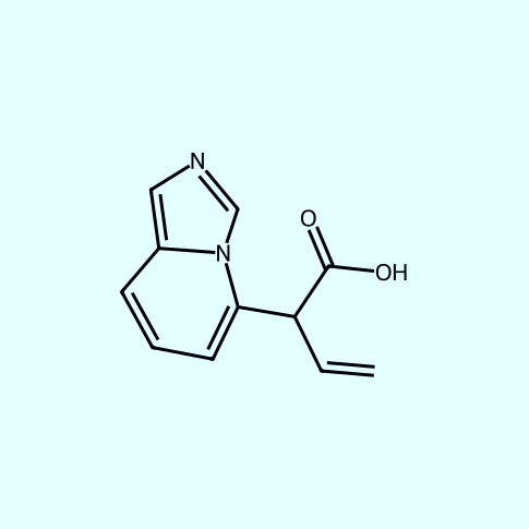 C=CC(C(=O)O)c1cccc2cncn12